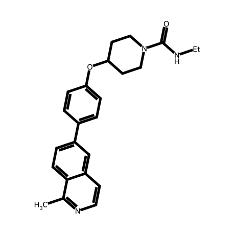 CCNC(=O)N1CCC(Oc2ccc(-c3ccc4c(C)nccc4c3)cc2)CC1